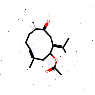 CC(=O)OC1C/C(C)=C/CC[C@H](C)C(=O)CC1=C(C)C